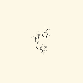 C[C@]1(O)C[C@H](n2ccc3c(N)ncnc32)O[C@@H]1[C@@H](O)c1cc(F)c(F)c(C(F)F)c1